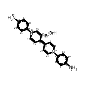 Br.Br.Nc1ccc(N2C=CC(=C3C=CN(c4ccc(N)cc4)C=C3)C=C2)cc1